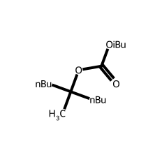 CCCCC(C)(CCCC)OC(=O)OCC(C)C